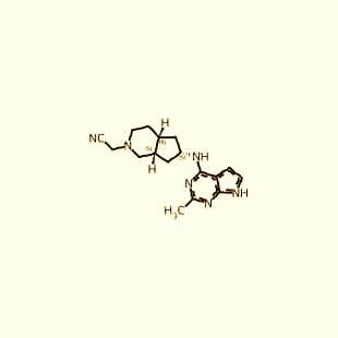 Cc1nc(N[C@H]2C[C@H]3CCN(CC#N)C[C@H]3C2)c2cc[nH]c2n1